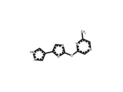 Cc1cncc(Oc2nc(-c3cn[nH]c3)cs2)n1